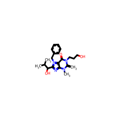 C=C1N(CCCO)C(=O)c2c(nc(C(O)C(C)C)n2Cc2ccccc2)N1C